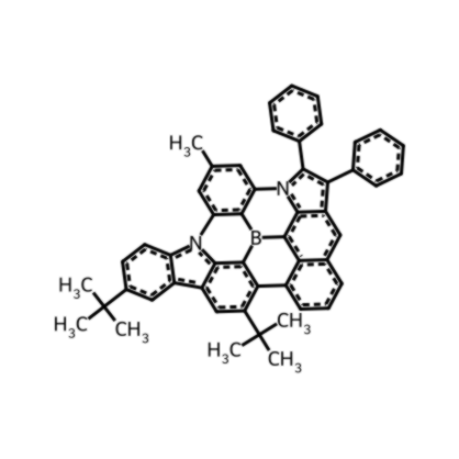 Cc1cc2c3c(c1)-n1c4ccc(C(C)(C)C)cc4c4cc(C(C)(C)C)c5c(c41)B3c1c3c-5cccc3cc3c(-c4ccccc4)c(-c4ccccc4)n-2c13